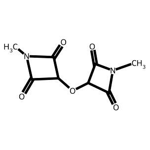 CN1C(=O)C(OC2C(=O)N(C)C2=O)C1=O